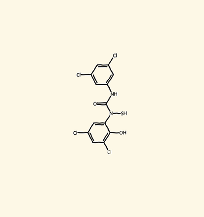 O=C(Nc1cc(Cl)cc(Cl)c1)N(S)c1cc(Cl)cc(Cl)c1O